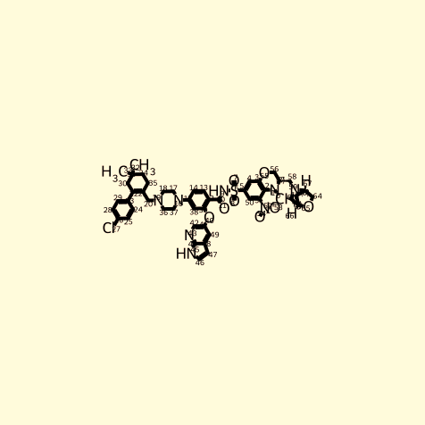 CN1c2c(cc(S(=O)(=O)NC(=O)c3ccc(N4CCN(CC5=C(c6ccc(Cl)cc6)CC(C)(C)CC5)CC4)cc3Oc3cnc4[nH]ccc4c3)cc2[N+](=O)[O-])OC[C@H]1CN1C[C@@H]2C[C@H]1CO2